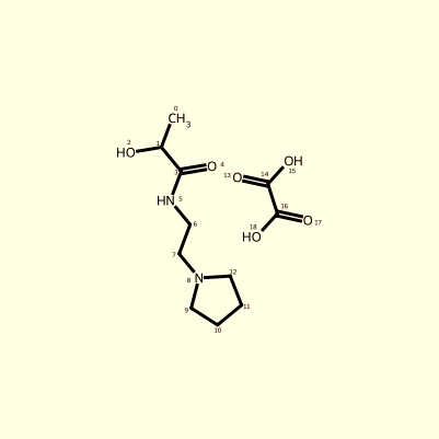 CC(O)C(=O)NCCN1CCCC1.O=C(O)C(=O)O